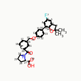 CC1(C)Cc2cc(F)cc(-c3ccc(OCc4cccc(C(=O)N5CCC[C@H]5C(=O)O)c4)cc3)c2O1